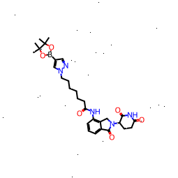 CC1(C)OB(c2cnn(CCCCCCC(=O)Nc3cccc4c3CN(C3CCC(=O)NC3=O)C4=O)c2)OC1(C)C